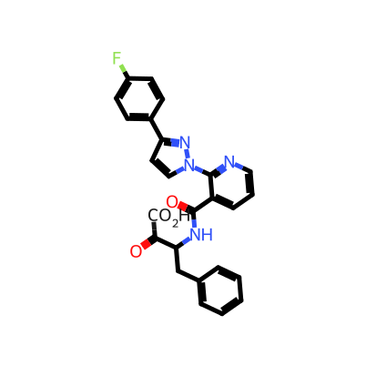 O=C(O)C(=O)C(Cc1ccccc1)NC(=O)c1cccnc1-n1ccc(-c2ccc(F)cc2)n1